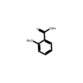 COC(=O)c1cc[c]cc1OCC(C)C